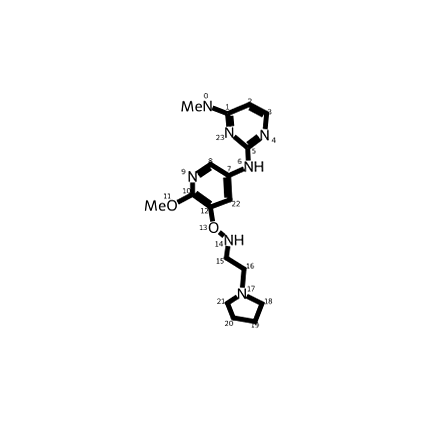 CNc1ccnc(Nc2cnc(OC)c(ONCCN3CCCC3)c2)n1